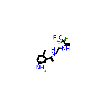 C=C(NCCNC(=C)C(F)(F)C(F)(F)F)c1cc(N)ccc1C